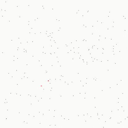 CC(C(CCCN)c1ccccc1)C(c1ccccc1)N1CCCCC1